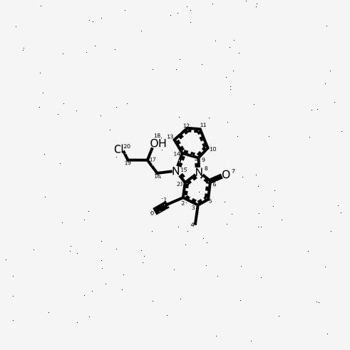 C#Cc1c(C)cc(=O)n2c3ccccc3n(CC(O)CCl)c12